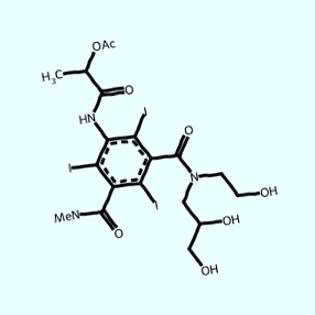 CNC(=O)c1c(I)c(NC(=O)C(C)OC(C)=O)c(I)c(C(=O)N(CCO)CC(O)CO)c1I